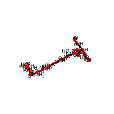 Cc1ccccc1NC(=O)Nc1ccc(CC(=O)N[C@@H](CCCCNC(=O)/C=C/c2cccnc2)C(=O)N[C@@H](CCCC(=O)O)C(=O)NC2(C(=O)NCCOCCOCCNC(=O)CCC(=O)NCCOCCOCCNC(=O)CCC(=O)N[C@@H](CCCCNC(=O)[C@H](N)CSC3CC(=O)N(CC(=O)NCCCC(O)(P(=O)(O)O)P(=O)(O)O)C3=O)C(N)=O)CCCCC2)cc1